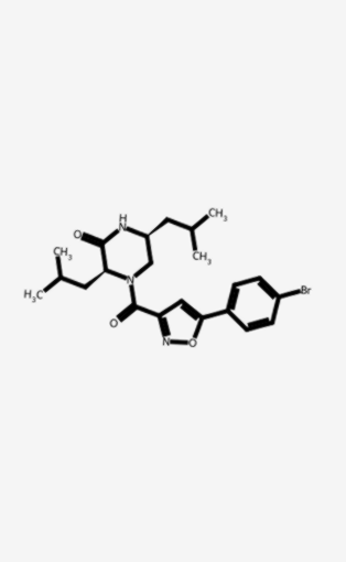 CC(C)C[C@H]1CN(C(=O)c2cc(-c3ccc(Br)cc3)on2)[C@@H](CC(C)C)C(=O)N1